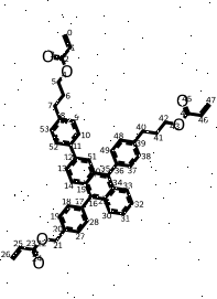 C=CC(=O)OCCCc1ccc(-c2ccc3c(-c4ccc(COC(=O)C=C)cc4)c4ccccc4c(-c4ccc(CCCOC(=O)C=C)cc4)c3c2)cc1